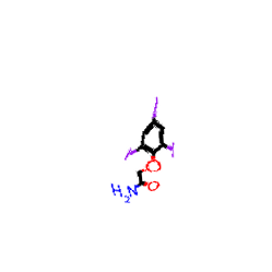 NC(=O)COc1c(I)cc(I)cc1I